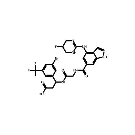 O=C(O)CC(NC(=O)CNC(=O)c1cc(NC2=NCC(F)CN2)c2cn[nH]c2c1)c1cc(Br)cc(C(F)(F)F)c1